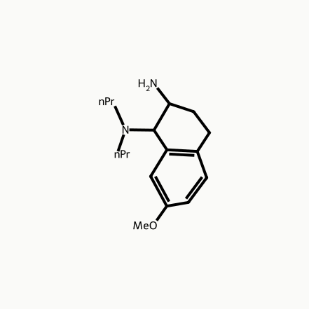 CCCN(CCC)C1c2cc(OC)ccc2CCC1N